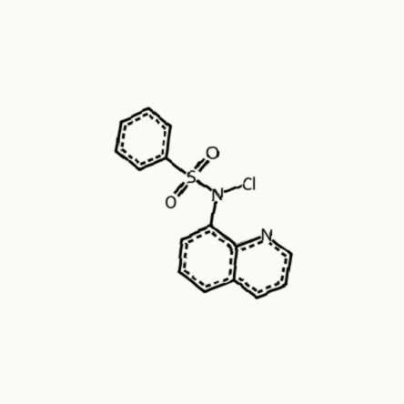 O=S(=O)(c1ccccc1)N(Cl)c1cccc2cccnc12